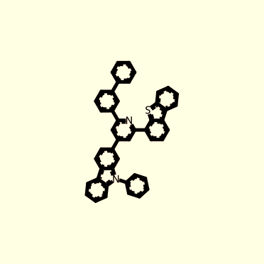 c1ccc(-c2cccc(-c3cc(-c4ccc5c6ccccc6n(-c6ccccc6)c5c4)cc(-c4cccc5c4sc4ccccc45)n3)c2)cc1